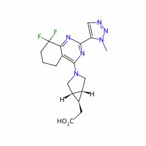 Cn1nncc1-c1nc(N2C[C@@H]3[C@@H](CC(=O)O)[C@@H]3C2)c2c(n1)C(F)(F)CCC2